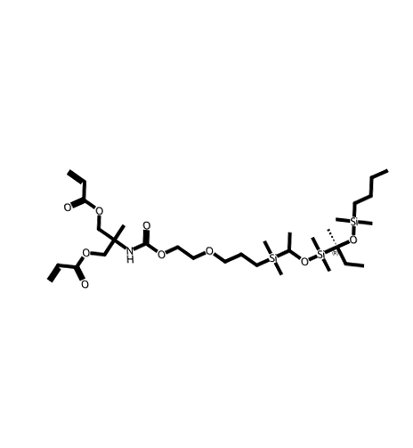 C=CC(=O)OCC(C)(COC(=O)C=C)NC(=O)OCCOCCC[Si](C)(C)C(C)O[Si](C)(C)[C@](C)(CC)O[Si](C)(C)CCCC